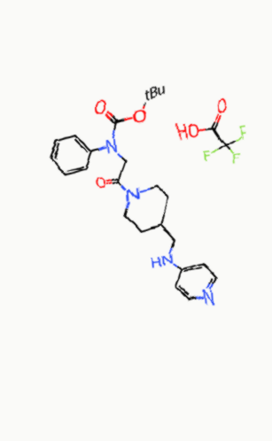 CC(C)(C)OC(=O)N(CC(=O)N1CCC(CNc2ccncc2)CC1)c1ccccc1.O=C(O)C(F)(F)F